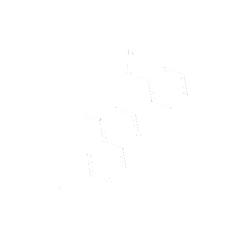 CCCOc1ccccc1-c1cc(=O)c2cc(C(=O)O)ccc2o1